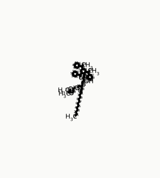 CCCCCCCCCCCCOCC(COCC1COC(C)(C)O1)OCC(O)COc1c(C(C)c2ccccc2)cc(C(C)c2ccccc2)cc1C(C)c1ccccc1